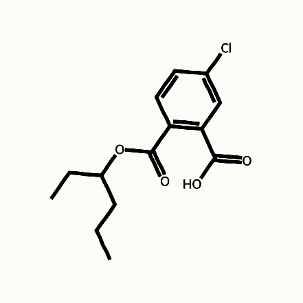 CCCC(CC)OC(=O)c1ccc(Cl)cc1C(=O)O